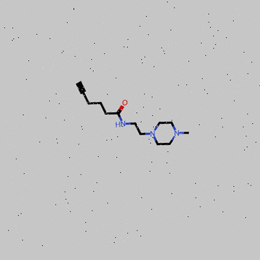 C#CCCCC(=O)NCCN1CCN(C)CC1